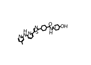 Cc1ccnc(Nc2cccc(-c3cnc(C4CCC(C(=O)NN5CCC(O)CC5)CC4)s3)n2)c1